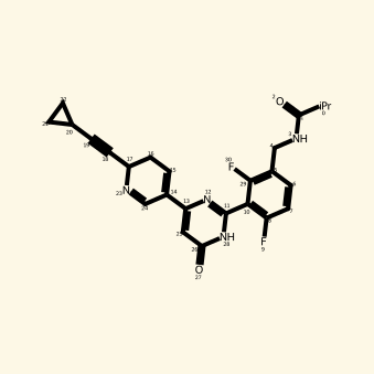 CC(C)C(=O)NCc1ccc(F)c(-c2nc(C3=CCC(C#CC4CC4)N=C3)cc(=O)[nH]2)c1F